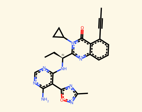 CC#Cc1cccc2nc([C@H](CC)Nc3ncnc(N)c3-c3nc(C)no3)n(C3CC3)c(=O)c12